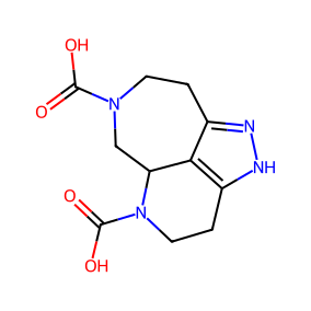 O=C(O)N1CCc2n[nH]c3c2C(C1)N(C(=O)O)CC3